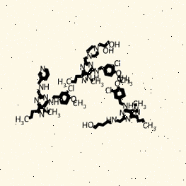 CCCc1nn(C)c2c(NCc3ccc(OC)c(Cl)c3)nc(CN3CCN(CC(O)CO)CC3)nc12.CCCc1nn(C)c2c(NCc3ccc(OC)c(Cl)c3)nc(CNCCCCCO)nc12.CCCc1nn(C)c2c(NCc3ccc(OC)c(Cl)c3)nc(CNCc3cccnc3)nc12